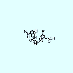 N#CNc1ccc(Cl)c(F)c1CNC(=O)c1cn(Cc2cn3cc(C4CC4)cc(CCC(=O)O)c3n2)nn1